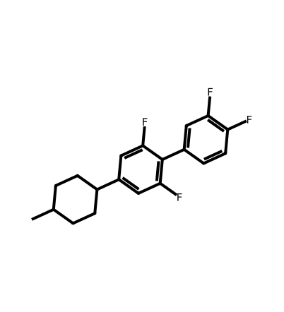 CC1CCC(c2cc(F)c(-c3ccc(F)c(F)c3)c(F)c2)CC1